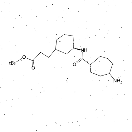 CC(C)(C)OC(=O)CCC1CCC[C@@H](NC(=O)C2CCCC(N)CC2)C1